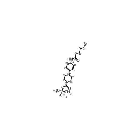 CC(C)(C)OC(=O)N1CCN(c2ccc(NC(=O)CCCCBr)cc2)CC1